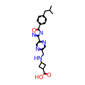 CC(C)Cc1ccc(-c2nc(-c3cnc(CNC4CC(C(=O)O)C4)cn3)no2)cc1